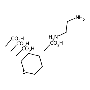 C1CCSCC1.CC(=O)O.CC(=O)O.CC(=O)O.CC(=O)O.NCCN